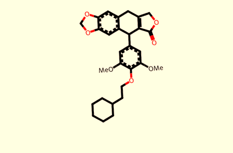 COc1cc(C2C3=C(COC3=O)Cc3cc4c(cc32)OCO4)cc(OC)c1OCCC1CCCCC1